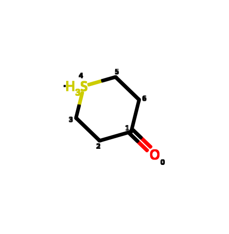 O=C1CC[SH3]CC1